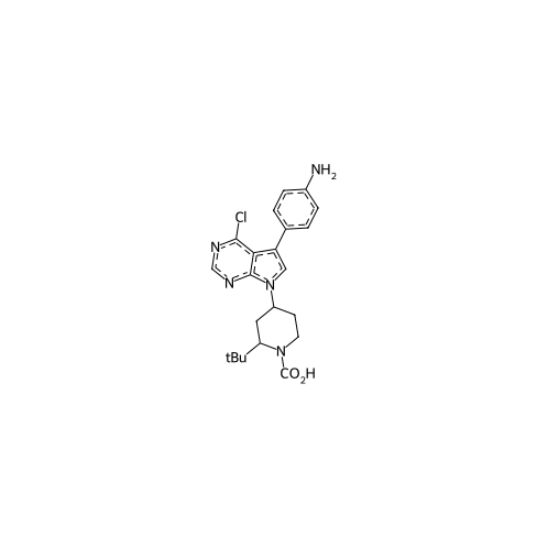 CC(C)(C)C1CC(n2cc(-c3ccc(N)cc3)c3c(Cl)ncnc32)CCN1C(=O)O